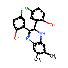 Cc1cc2c(cc1C)NC(c1cc(Cl)ccc1O)C(c1cc(Cl)ccc1O)=N2